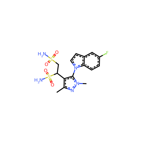 Cc1nn(C)c(-n2ccc3cc(F)ccc32)c1C(CS(N)(=O)=O)S(N)(=O)=O